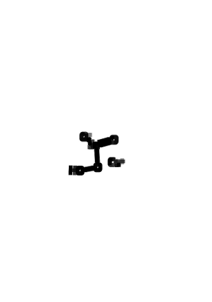 [Cu+].[O]=[Sn]([O-])[O]O